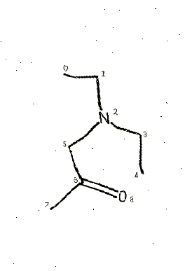 CCN(CC)CC(C)=O